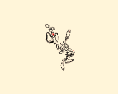 Cc1cc(CC(NC(=O)N2CCC(c3cc4ccccc4n(COC(=O)C4CCCCC4)c3=O)CC2)C(=O)N2CCN(C3CCN(C)CC3)CC2)cc2cn(COC(=O)C3CCCCC3)nc12